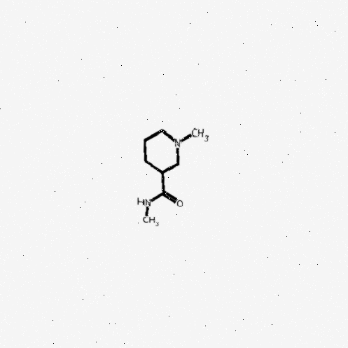 CNC(=O)C1CCCN(C)C1